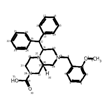 COc1ccccc1CN1CC(C(c2ccccc2)c2ccccc2)N2CCN(C(=O)O)C[C@H]2C1